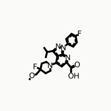 COCC1(F)CCN(c2cc(C(=O)O)nc3c2c(C(C)C)nn3-c2ccc(F)cc2)CC1